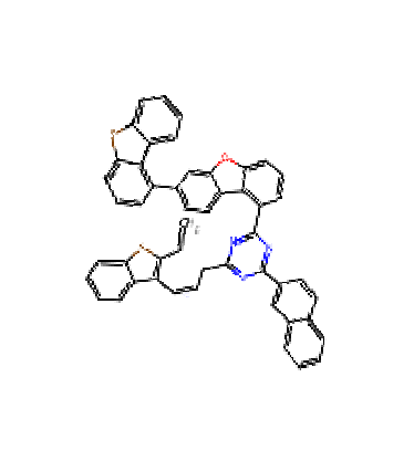 C=Cc1sc2ccccc2c1/C=C\Cc1nc(-c2ccc3ccccc3c2)nc(-c2cccc3oc4cc(-c5cccc6sc7ccccc7c56)ccc4c23)n1